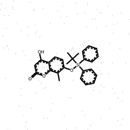 Cc1c(O[Si](c2ccccc2)(c2ccccc2)C(C)(C)C)ccc2c(O)cc(=O)oc12